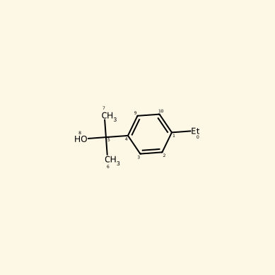 CCc1ccc(C(C)(C)O)cc1